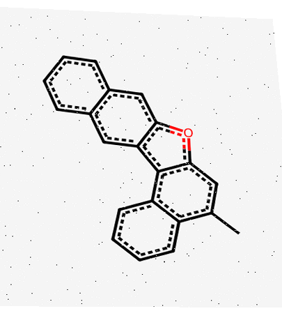 Cc1cc2oc3cc4ccccc4cc3c2c2ccccc12